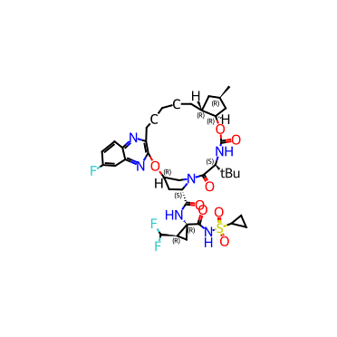 C[C@@H]1C[C@H]2CCCCCc3nc4ccc(F)cc4nc3O[C@@H]3C[C@@H](C(=O)N[C@]4(C(=O)NS(=O)(=O)C5CC5)C[C@H]4C(F)F)N(C3)C(=O)[C@H](C(C)(C)C)NC(=O)O[C@@H]2C1